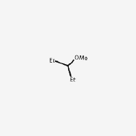 [CH2]CC(CC)O[CH2]